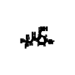 N=Cc1cc(Br)ccc1NCC(F)(F)F